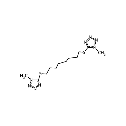 Cn1nnnc1SCCCCCCCCSc1nnnn1C